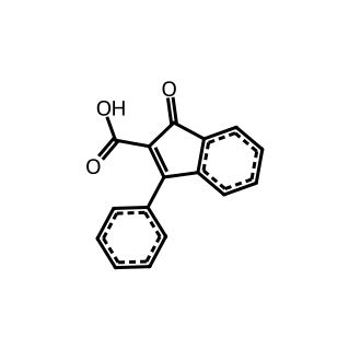 O=C(O)C1=C(c2ccccc2)c2ccccc2C1=O